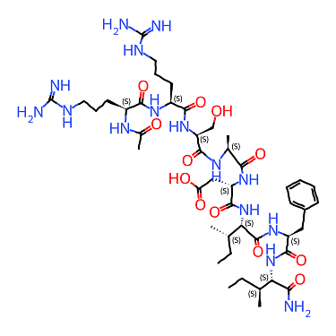 CC[C@H](C)[C@H](NC(=O)[C@H](Cc1ccccc1)NC(=O)[C@@H](NC(=O)[C@H](CC(=O)O)NC(=O)[C@H](C)NC(=O)[C@H](CO)NC(=O)[C@H](CCCNC(=N)N)NC(=O)[C@H](CCCNC(=N)N)NC(C)=O)[C@@H](C)CC)C(N)=O